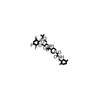 Cc1ccc(C)c(CNC(=O)C(=O)N2CCC(C(=O)N[C@@H](CC(=O)OC(C)(C)C)C(O)COc3c(F)c(F)cc(F)c3F)CC2)c1